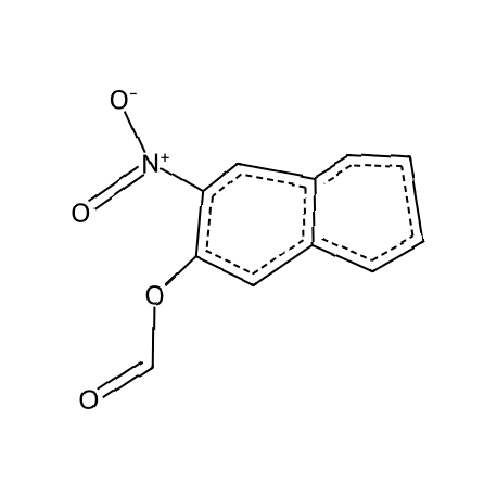 O=COc1cc2ccccc2cc1[N+](=O)[O-]